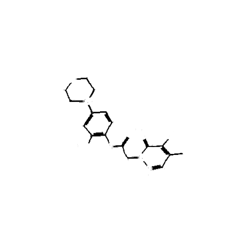 Cc1cc(N2CCOCC2)ccc1NC(=O)Cn1ncc(Cl)c(Cl)c1=O